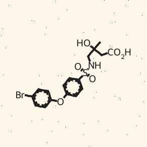 CC(O)(CNS(=O)(=O)c1ccc(Oc2ccc(Br)cc2)cc1)CC(=O)O